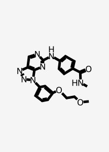 CNC(=O)c1ccc(Nc2ncc3nnn(-c4cccc(OCCOC)c4)c3n2)cc1